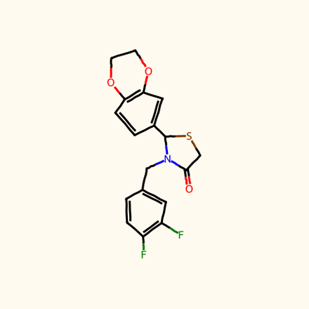 O=C1CSC(c2ccc3c(c2)OCCO3)N1Cc1ccc(F)c(F)c1